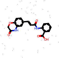 O=C(C=Cc1ccc2c(c1)NC(=O)CO2)Nc1ccccc1C(=O)O